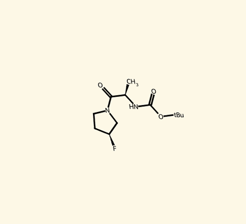 C[C@@H](NC(=O)OC(C)(C)C)C(=O)N1CC[C@H](F)C1